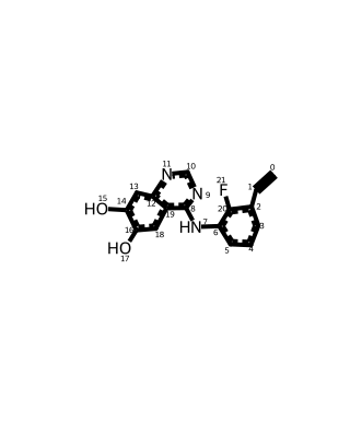 C#Cc1cccc(Nc2ncnc3cc(O)c(O)cc23)c1F